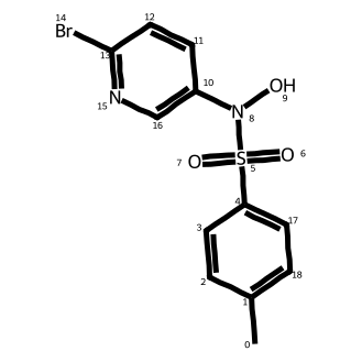 Cc1ccc(S(=O)(=O)N(O)c2ccc(Br)nc2)cc1